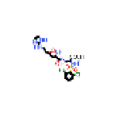 O=C(O)C(CNC(=O)C1CC(CCNc2ncc[nH]2)ON1)NS(=O)(=O)c1c(Cl)cccc1Cl